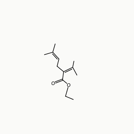 CCOC(=O)C(CC=C(C)C)=C(C)C